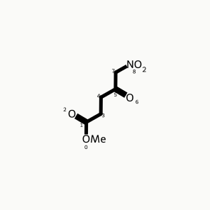 COC(=O)CCC(=O)C[N+](=O)[O-]